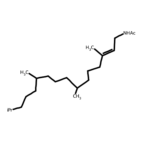 CC(=O)NC/C=C(\C)CCCC(C)CCCC(C)CCCC(C)C